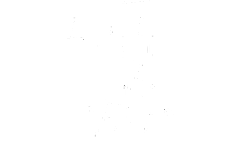 NC(=O)CC1(NC(=O)c2ccc(C3CC3)c(OCC3CC3)c2)C=CS(=O)(=O)C1